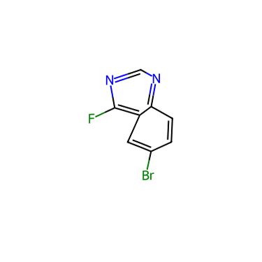 Fc1ncnc2ccc(Br)cc12